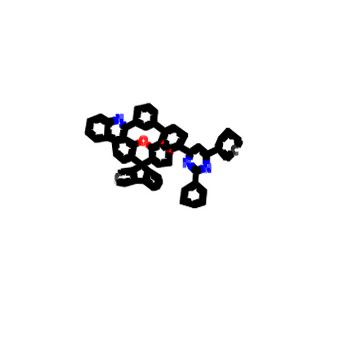 c1ccc(-c2cc(-c3ccc(-c4cccc(-c5nc6ccccc6c6ccc7c(c56)Oc5ccccc5C75c6ccccc6-c6ccccc65)c4)cc3)nc(-c3ccccc3)n2)cc1